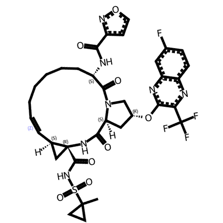 CC1(S(=O)(=O)NC(=O)[C@@]23C[C@H]2/C=C\CCCCC[C@H](NC(=O)c2ccon2)C(=O)N2C[C@H](Oc4nc5cc(F)ccc5nc4C(F)(F)F)C[C@H]2C(=O)N3)CC1